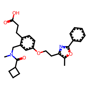 Cc1oc(-c2ccccc2)nc1CCOc1ccc(CCC(=O)O)c(CN(C)C(=O)C2CCC2)c1